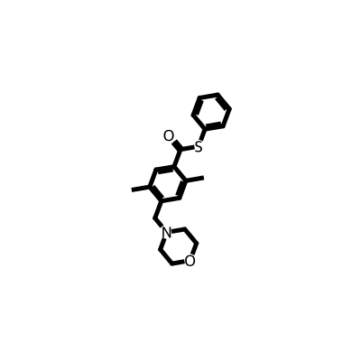 Cc1cc(C(=O)Sc2ccccc2)c(C)cc1CN1CCOCC1